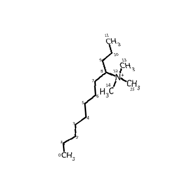 CCCCCCCCC(CCC)[N+](C)(C)C